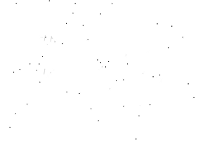 C=C(C(=O)O)S(=O)(=O)OCC(C)CN